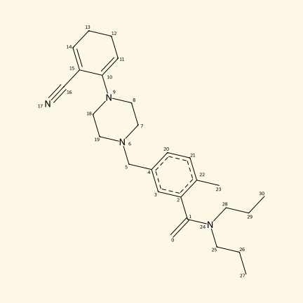 C=C(c1cc(CN2CCN(C3=CCCC=C3C#N)CC2)ccc1C)N(CCC)CCC